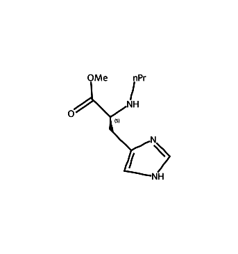 CCCN[C@@H](Cc1c[nH]cn1)C(=O)OC